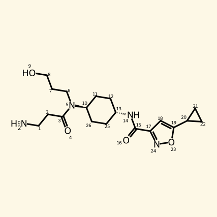 NCCC(=O)N(CCCO)[C@H]1CC[C@H](NC(=O)c2cc(C3CC3)on2)CC1